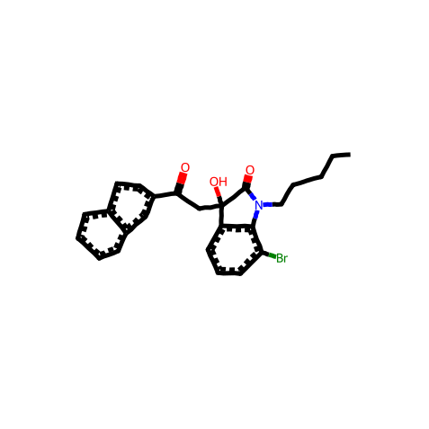 CCCCCN1C(=O)C(O)(CC(=O)c2ccc3ccccc3c2)c2cccc(Br)c21